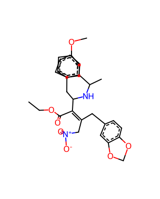 CCOC(=O)C(=C(Cc1ccc2c(c1)OCO2)C[N+](=O)[O-])C(Cc1ccc(OC)cc1)NC(C)c1ccccc1